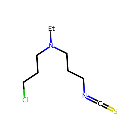 CCN(CCCCl)CCCN=C=S